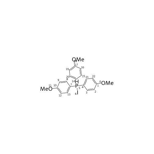 COc1ccc([PH](I)(c2ccc(OC)cc2)c2ccc(OC)cc2)cc1